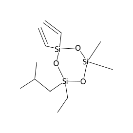 C=C[Si]1(C=C)O[Si](C)(C)O[Si](CC)(CC(C)C)O1